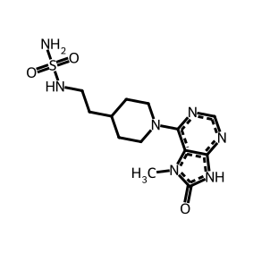 Cn1c(=O)[nH]c2ncnc(N3CCC(CCNS(N)(=O)=O)CC3)c21